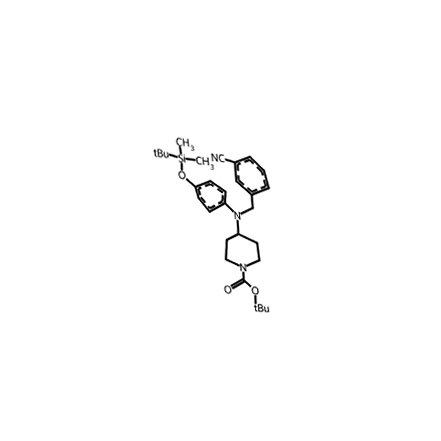 CC(C)(C)OC(=O)N1CCC(N(Cc2cccc(C#N)c2)c2ccc(O[Si](C)(C)C(C)(C)C)cc2)CC1